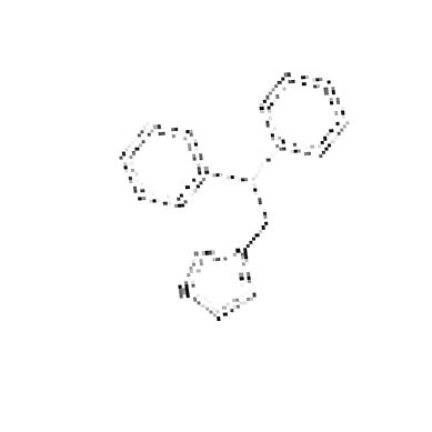 c1ccc(C(Cn2ccnc2)c2ccccc2)cc1